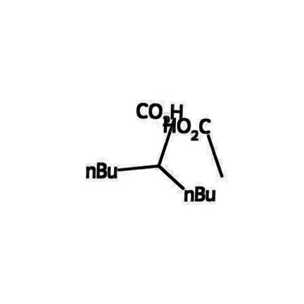 CC(=O)O.CCCCC(CCCC)C(=O)O